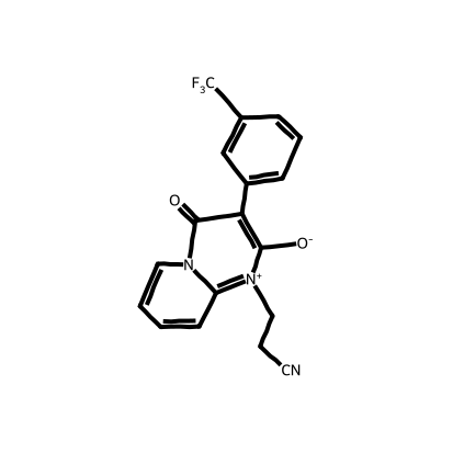 N#CCC[n+]1c([O-])c(-c2cccc(C(F)(F)F)c2)c(=O)n2ccccc21